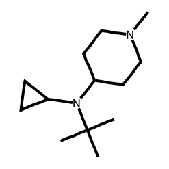 CN1CCC(N(C2CC2)C(C)(C)C)CC1